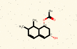 CCC(C)C(=O)O[C@@H]1C[C@H](O)C=C2C=CC(C)C(C)C21